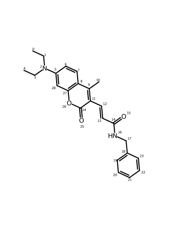 CCN(CC)c1ccc2c(C)c(C=CC(=O)NCc3ccccc3)c(=O)oc2c1